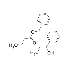 C=CC(O)c1ccccc1.C=CCC(=O)OCc1ccccc1